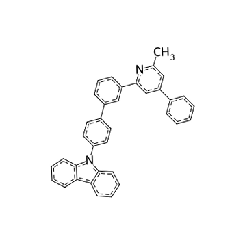 Cc1cc(-c2ccccc2)cc(-c2cccc(-c3ccc(-n4c5ccccc5c5ccccc54)cc3)c2)n1